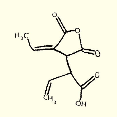 C=CC(C(=O)O)C1C(=O)OC(=O)C1=CC